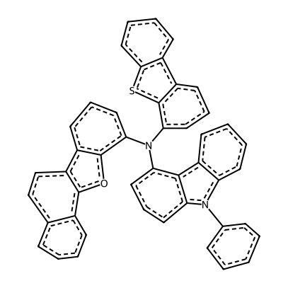 c1ccc(-n2c3ccccc3c3c(N(c4cccc5c4oc4c6ccccc6ccc54)c4cccc5c4sc4ccccc45)cccc32)cc1